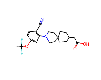 CC(F)(F)Oc1ccc(C#N)c(N2CCC3(CCC(CC(=O)O)CC3)CC2)c1